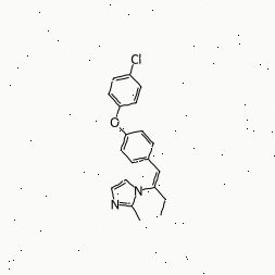 CCC(=Cc1ccc(Oc2ccc(Cl)cc2)cc1)n1ccnc1C